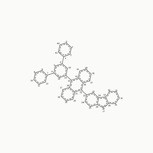 c1ccc(-c2cc(-c3ccccc3)cc(-c3c4ccccc4c(-c4ccc5sc6ccccc6c5c4)c4ccccc34)c2)cc1